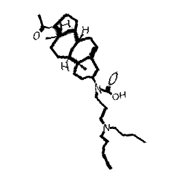 CCCCN(CCCC)CCCN(C(=O)O)C1CC[C@@]2(C)C(=CC[C@H]3[C@@H]4CC[C@H](C(C)=O)[C@@]4(C)CC[C@@H]32)C1